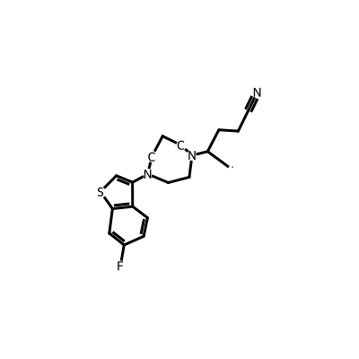 [CH2]C(CCC#N)N1CCCN(c2csc3cc(F)ccc23)CC1